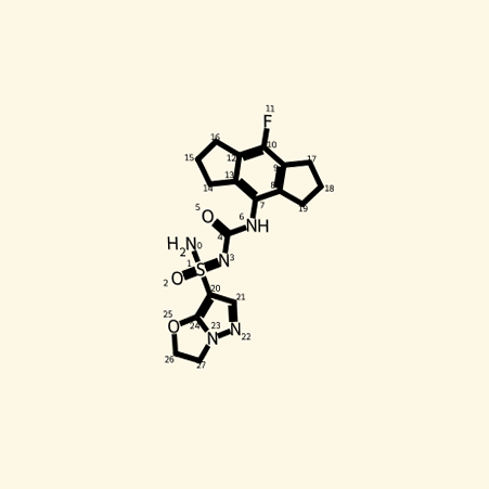 NS(=O)(=NC(=O)Nc1c2c(c(F)c3c1CCC3)CCC2)c1cnn2c1OCC2